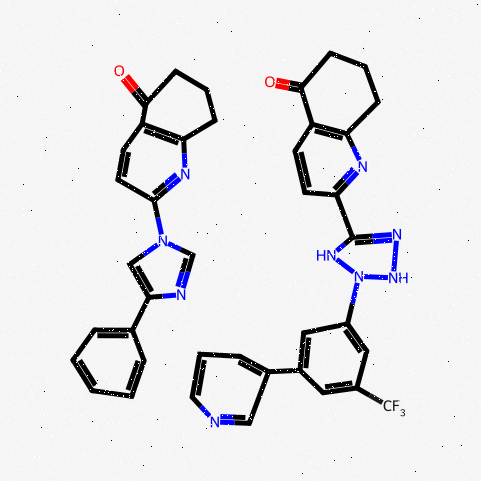 O=C1CCCc2nc(-n3cnc(-c4ccccc4)c3)ccc21.O=C1CCCc2nc(C3=NNN(c4cc(-c5cccnc5)cc(C(F)(F)F)c4)N3)ccc21